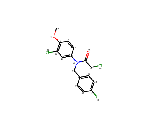 COc1ccc(N(Cc2ccc(F)cc2)C(=O)CCl)cc1Cl